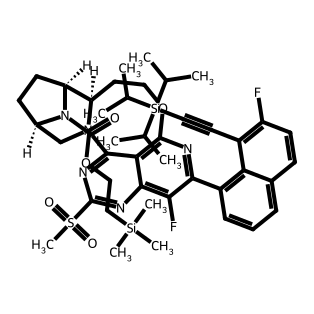 CC(C)[Si](C#Cc1c(F)ccc2cccc(-c3nc4c5c(nc(S(C)(=O)=O)nc5c3F)N3C[C@H]5CC[C@@H]([C@H]3CCO4)N5C(=O)OCC[Si](C)(C)C)c12)(C(C)C)C(C)C